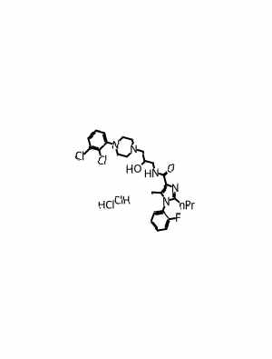 CCCc1nc(C(=O)NCC(O)CN2CCN(c3cccc(Cl)c3Cl)CC2)c(C)n1-c1ccccc1F.Cl.Cl